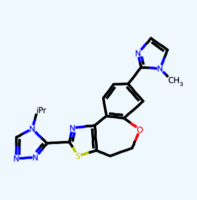 CC(C)n1cnnc1-c1nc2c(s1)CCOc1cc(-c3nccn3C)ccc1-2